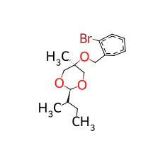 CCC(C)[C@H]1OC[C@@](C)(OCc2ccccc2Br)CO1